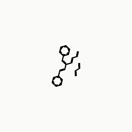 C=CC=C.C=CC=CC(C=Cc1ccccc1)=Cc1ccccc1